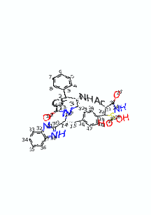 CC(=O)N[C@@H](Cc1ccccc1)CN(C(=O)C(F)(F)F)[C@H](Cc1ccc(C2CC(=O)NS2(O)O)cc1)c1nc2ccccc2[nH]1